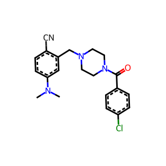 CN(C)c1ccc(C#N)c(CN2CCN(C(=O)c3ccc(Cl)cc3)CC2)c1